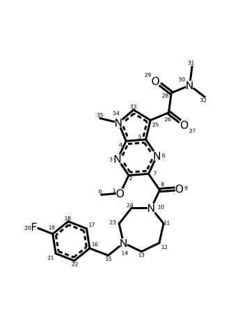 COc1nc2c(nc1C(=O)N1CCCN(Cc3ccc(F)cc3)CC1)c(C(=O)C(=O)N(C)C)cn2C